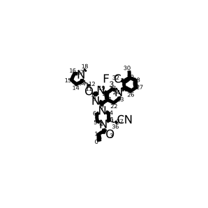 C=CC(=O)N1CCN(c2nc(OC[C@@H]3CCCN3C)nc3c2CCN(c2cccc(C)c2C(F)(F)F)C3)C[C@@H]1CC#N